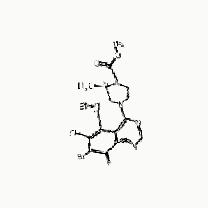 CCOc1c(Cl)c(Br)c(F)c2ncnc(N3CCN(C(=O)OC(C)(C)C)[C@H](C)C3)c12